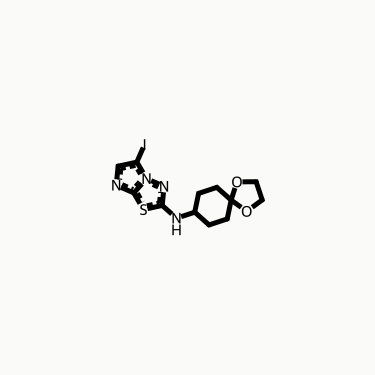 Ic1cnc2sc(NC3CCC4(CC3)OCCO4)nn12